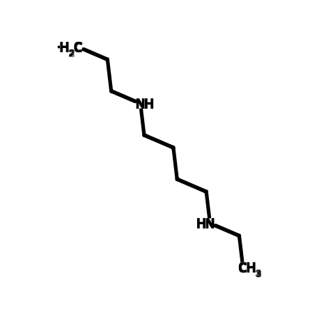 [CH2]CCNCCCCNCC